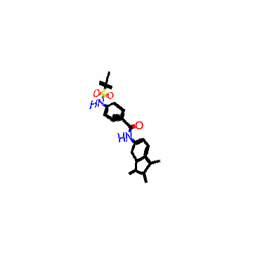 CC1C2=CC=C(NC(=O)c3ccc(NS(=O)(=O)C(C)(C)C)cc3)CC2C(C)C1C